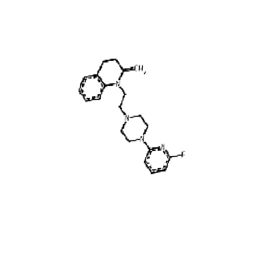 C=C1CCc2ccccc2N1CCN1CCN(c2cccc(F)n2)CC1